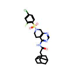 O=C(CC12CC3CC(CC(C3)C1)C2)Nc1ncnc2c1CCN(S(=O)(=O)c1ccc(Cl)cc1F)C2